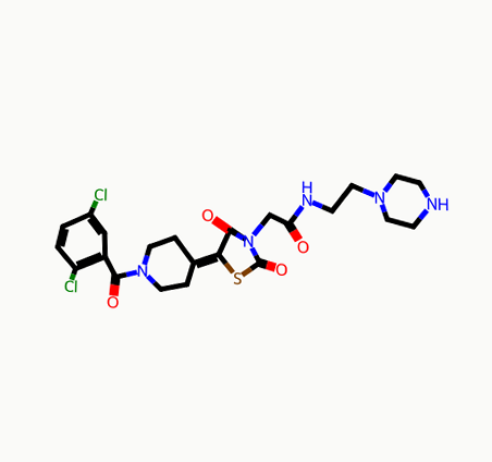 O=C(CN1C(=O)SC(=C2CCN(C(=O)c3cc(Cl)ccc3Cl)CC2)C1=O)NCCN1CCNCC1